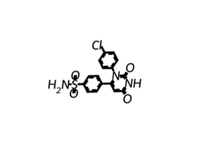 NS(=O)(=O)c1ccc(-c2cc(=O)[nH]c(=O)n2-c2ccc(Cl)cc2)cc1